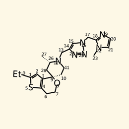 CCc1cc2c(s1)CCO[C@@]21CCN(Cc2cn(Cc3nccn3C)nn2)[C@@H](C)C1